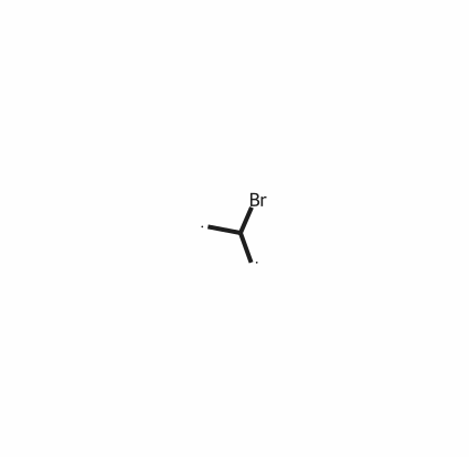 [CH2]C([CH2])Br